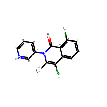 Cc1c(Br)c2cccc(F)c2c(=O)n1-c1cccnc1